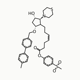 Cc1ccc(-c2ccc(CO[C@@H]3C[C@H](O)[C@@H](N4CCSCC4)C3CC/C=C\CCC(=O)Oc3ccc(S(C)(=O)=O)cc3)cc2)cc1